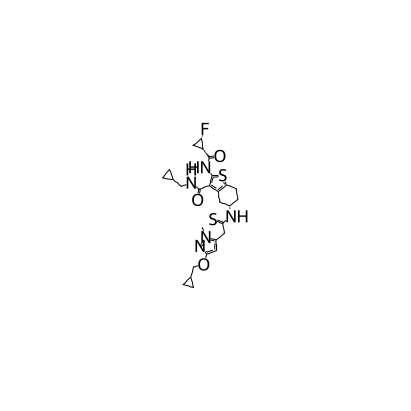 Cn1nc(OCC2CC2)cc1CC(=S)N[C@H]1CCc2sc(NC(=O)[C@H]3C[C@@H]3F)c(C(=O)NCC3CC3)c2C1